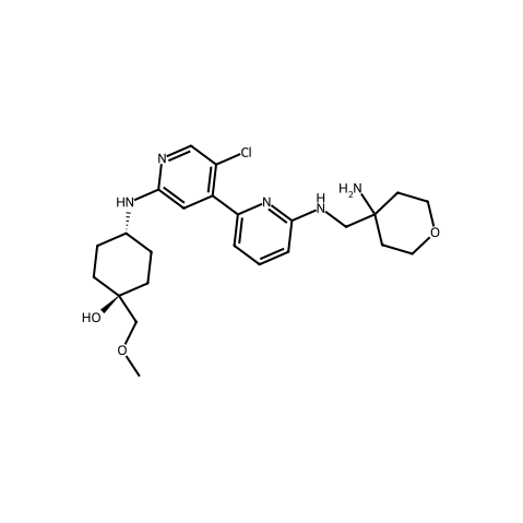 COC[C@]1(O)CC[C@H](Nc2cc(-c3cccc(NCC4(N)CCOCC4)n3)c(Cl)cn2)CC1